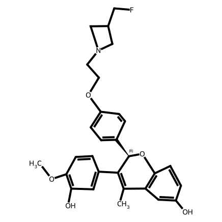 COc1ccc(C2=C(C)c3cc(O)ccc3O[C@@H]2c2ccc(OCCN3CC(CF)C3)cc2)cc1O